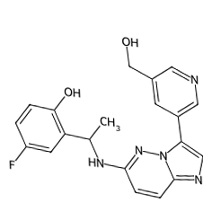 CC(Nc1ccc2ncc(-c3cncc(CO)c3)n2n1)c1cc(F)ccc1O